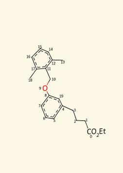 CCOC(=O)CCCc1cccc(OCc2c(C)cccc2C)c1